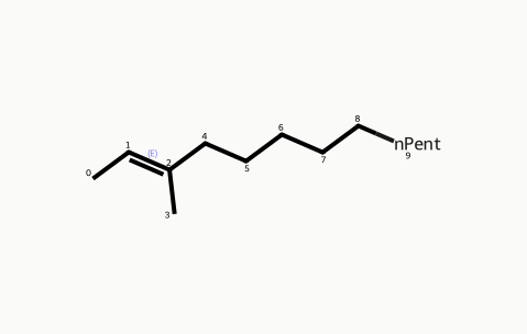 C/C=C(\C)CCCCCCCCCC